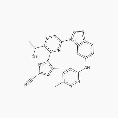 Cc1ccc(Nc2ccc3ncn(-c4ccc(C(C)O)c(-n5nc(C#N)cc5C)n4)c3c2)nn1